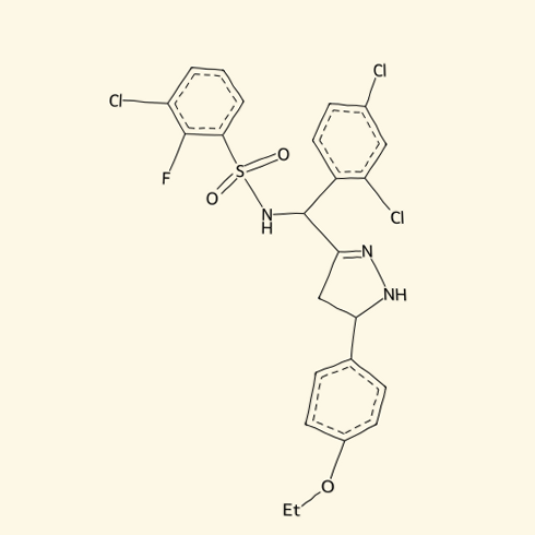 CCOc1ccc(C2CC(C(NS(=O)(=O)c3cccc(Cl)c3F)c3ccc(Cl)cc3Cl)=NN2)cc1